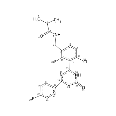 CC(C)C(=O)NCc1ccc(Cl)c(-c2nc(-c3ccc(F)cn3)cc(=O)[nH]2)c1F